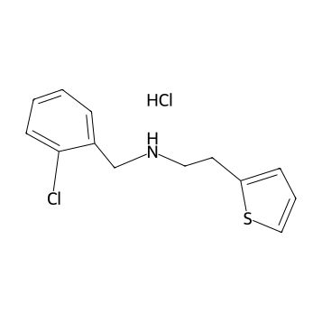 Cl.Clc1ccccc1CNCCc1cccs1